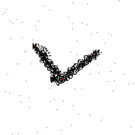 O.O.O.O.O=S(=O)([O-])[O-].O=S(=O)([O-])[O-].O=S(=O)([O-])[O-].O=S(=O)([O-])[O-].O=S(=O)([O-])[O-].O=[Si]([O-])[O-].O=[Si]([O-])[O-].O=[Si]([O-])[O-].O=[Si]([O-])[O-].O=[Si]([O-])[O-].[Al+3].[Al+3].[Al+3].[Al+3].[K+].[K+].[K+].[K+].[Na+].[Na+].[Na+].[Na+]